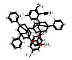 C#Cc1c(C)cc(C)cc1C12CC3(c4ccccc4)CC(c4ccccc4)(C1)CC(C14CC5(c6ccccc6)CC(c6ccccc6)(CC(c6cc(C)cc(C)c6C#C)(C5)C1)C4)(C3)C2